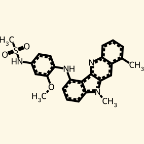 COc1cc(NS(C)(=O)=O)ccc1Nc1cccc2c1c1nc3cccc(C)c3cc1n2C